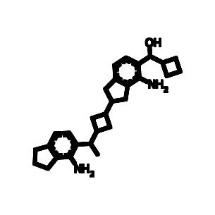 CC(c1ccc2c(c1N)CCC2)C1CC(C2Cc3ccc(C(O)C4CCC4)c(N)c3C2)C1